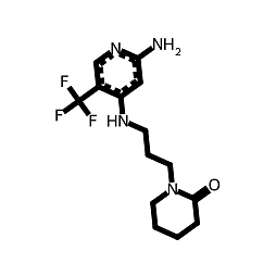 Nc1cc(NCCCN2CCCCC2=O)c(C(F)(F)F)cn1